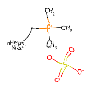 CCCCCCCC[P+](C)(C)C.O=S(=O)([O-])[O-].[Na+]